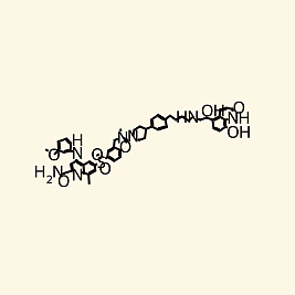 COc1cccc(Nc2cc(C(N)=O)nc3c(C)cc(S(=O)(=O)c4cccc(CN(C)C(=O)N5CCC(c6ccc(CCCCNC[C@H](O)c7ccc(O)c8[nH]c(=O)ccc78)cc6)CC5)c4)cc23)c1